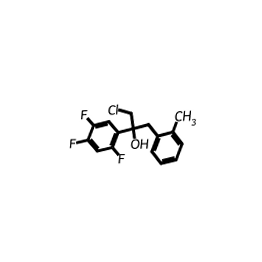 Cc1ccccc1CC(O)(CCl)c1cc(F)c(F)cc1F